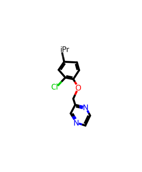 CC(C)c1ccc(OCc2cnccn2)c(Cl)c1